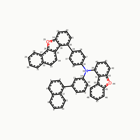 c1cc(-c2cccc3ccccc23)cc(N(c2ccc(-c3cccc4oc5c6ccccc6ccc5c34)cc2)c2cccc3oc4ccccc4c23)c1